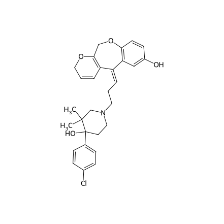 CC1(C)CN(CCC=C2C3=C(COc4ccc(O)cc42)OCC=C3)CCC1(O)c1ccc(Cl)cc1